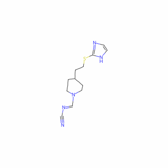 N#CN=CN1CCC(CCSc2ncc[nH]2)CC1